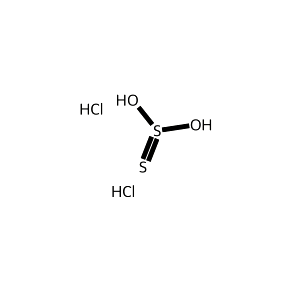 Cl.Cl.OS(O)=S